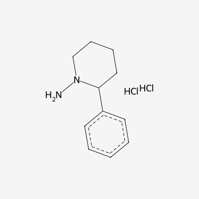 Cl.Cl.NN1CCCCC1c1ccccc1